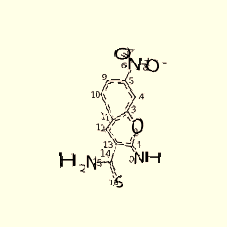 N=c1oc2cc([N+](=O)[O-])ccc2cc1C(N)=S